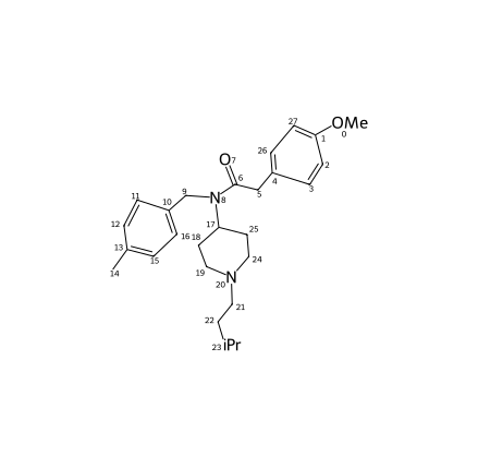 COc1ccc(CC(=O)N(Cc2ccc(C)cc2)C2CCN(CCC(C)C)CC2)cc1